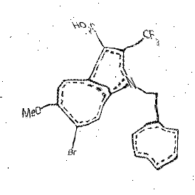 COc1cc2c(C(=O)O)c(C(F)(F)F)n(Cc3ccccc3)c2cc1Br